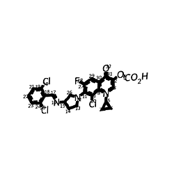 O=C(O)Oc1cn(C2CC2)c2c(Cl)c(N3CCC(N=Cc4c(Cl)cccc4Cl)C3)c(F)cc2c1=O